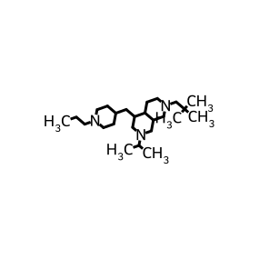 CCCN1CCC(CC2CN(C(C)C)CC3CN(CC(C)(C)C)CCC23)CC1